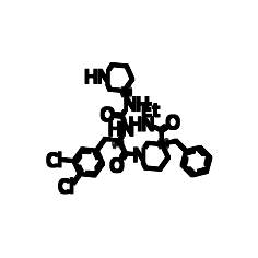 CCNC(=O)[C@]1(Cc2ccccc2)CCCN(C(=O)[C@@H](Cc2ccc(Cl)c(Cl)c2)NC(=O)N[C@@H]2CCCNC2)C1